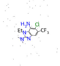 CCn1c(N(C)C)nc2cc(C(F)(F)F)c(Cl)c(N)c21